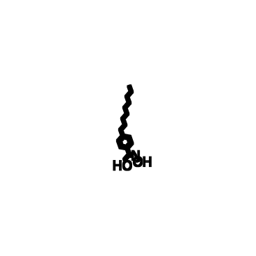 CCCCCCCCCc1ccc(C(CO)=NO)cc1